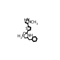 Cn1nncc1-c1ccc(C(=O)NC(CN)Cc2ccccc2)s1